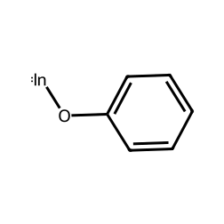 [In][O]c1ccccc1